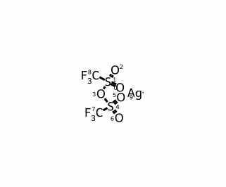 O=S(=O)(OS(=O)(=O)C(F)(F)F)C(F)(F)F.[Ag]